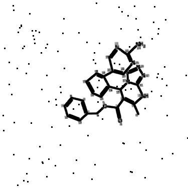 CC1=C(C(=O)OCc2ccccc2)C(c2ccccc2-c2cnc(N)nc2)n2nnnc2N1